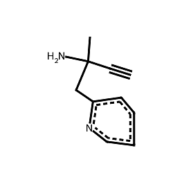 C#CC(C)(N)Cc1ccccn1